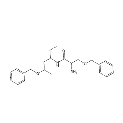 CCC(CC(C)OCc1ccccc1)NC(=O)C(N)COCc1ccccc1